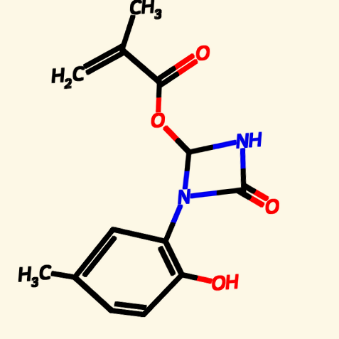 C=C(C)C(=O)OC1NC(=O)N1c1cc(C)ccc1O